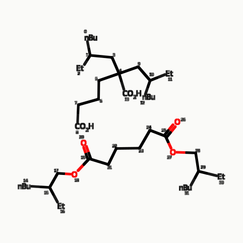 CCCCC(CC)CC(CCCC(=O)O)(CC(CC)CCCC)C(=O)O.CCCCC(CC)COC(=O)CCCCC(=O)OCC(CC)CCCC